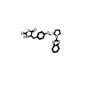 O=C1NC(Cc2ccc(OC[C@@H]3CCCN3c3nc4ccccc4s3)cc2)C(=O)S1